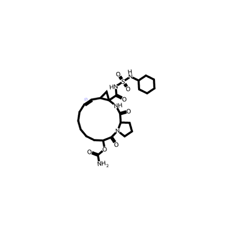 NC(=O)OC1CCCCC/C=C\C2CC2(C(=O)NS(=O)(=O)NC2CCCCC2)NC(=O)C2CCCN2C1=O